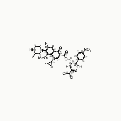 COc1c(N2CCNC(C)C2)c(F)cc2c(=O)c(C(=O)OC[C@@H](NC(=O)C(Cl)Cl)[C@H](O)c3ccc([N+](=O)[O-])cc3)cn(C3CC3)c12